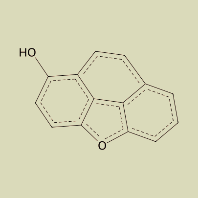 Oc1ccc2oc3cccc4ccc1c2c43